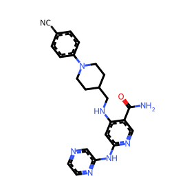 N#Cc1ccc(N2CCC(CNc3cc(Nc4cnccn4)ncc3C(N)=O)CC2)cc1